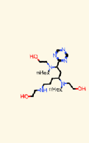 CCCCCCN(CCO)C(CCCNCCO)CC(c1ncncn1)N(CCO)CCCCCC